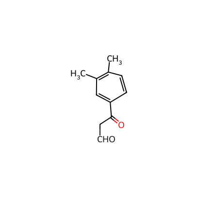 Cc1ccc(C(=O)CC=O)cc1C